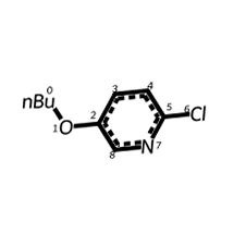 CCCCOc1ccc(Cl)nc1